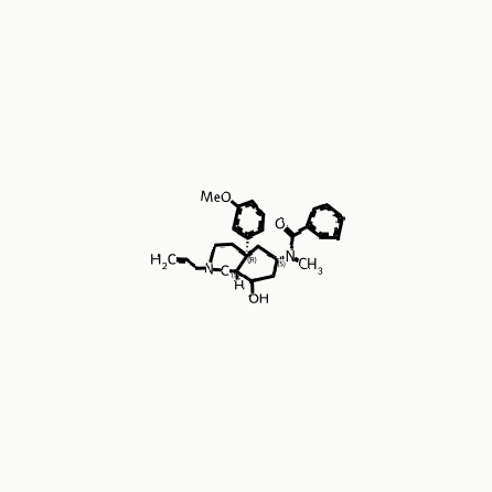 C=CCN1CC[C@@]2(c3cccc(OC)c3)C[C@H](N(C)C(=O)c3ccccc3)CC(O)[C@@H]2C1